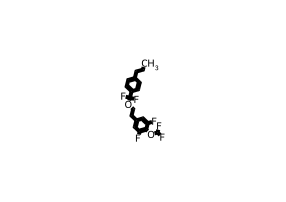 CCCc1ccc(C(F)(F)OCCc2cc(F)c(OC(F)F)c(F)c2)cc1